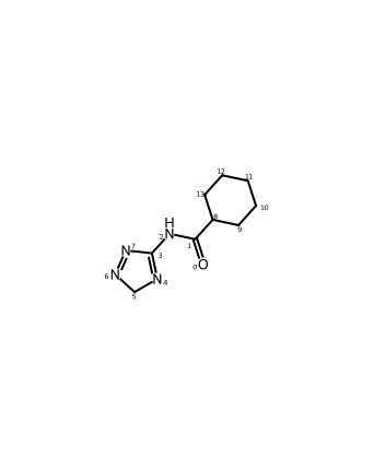 O=C(NC1=NCN=N1)C1CCCCC1